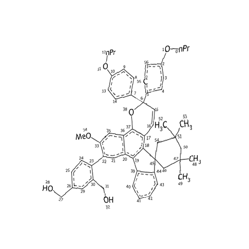 CCCOc1ccc(C2(c3ccc(OCCC)cc3)C=Cc3c4c(c5cc(-c6ccc(CO)cc6CO)c(OC)cc5c3O2)-c2ccccc2C42CC(C)(C)CC(C)(C)C2)cc1